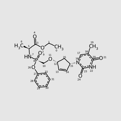 CCOC(=O)[C@H](C)N[P@@](=O)(CO[C@H]1C=C[C@@H](n2cc(C)c(=O)[nH]c2=O)C1)Oc1ccccc1